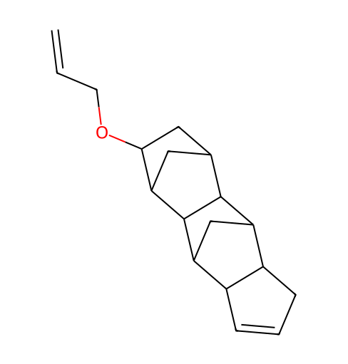 C=CCOC1CC2CC1C1C3CC(C4CC=CC43)C21